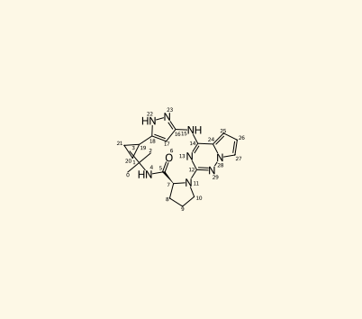 CC(C)(C)NC(=O)[C@@H]1CCCN1c1nc(Nc2cc(C3CC3)[nH]n2)c2cccn2n1